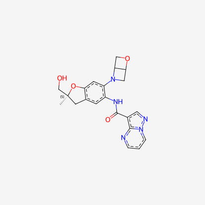 C[C@@]1(CO)Cc2cc(NC(=O)c3cnn4cccnc34)c(N3CC4OCC43)cc2O1